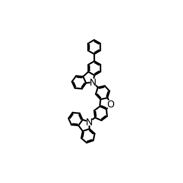 c1ccc(-c2ccc3c(c2)c2ccccc2n3-c2ccc3oc4ccc(-n5c6ccccc6c6ccccc65)cc4c3c2)cc1